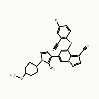 COC1CCC(n2ncc(-c3cc(Sc4ccc(F)cc4C#N)c4c(C#N)cnn4c3)c2C)CC1